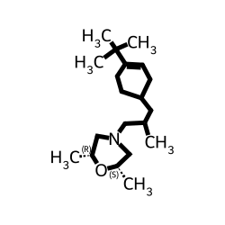 CC(CC1CC=C(C(C)(C)C)CC1)CN1C[C@@H](C)O[C@@H](C)C1